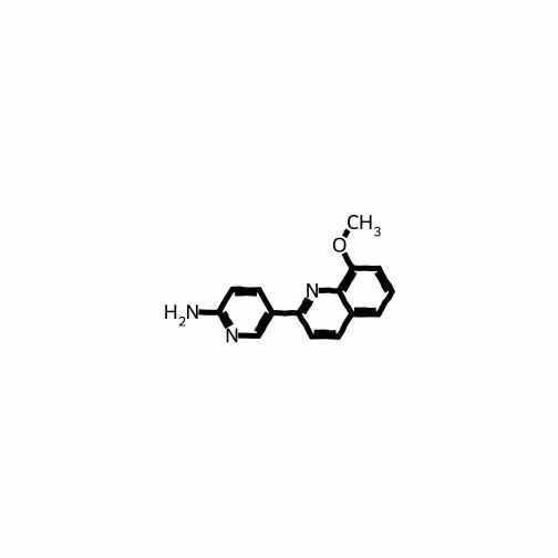 COc1cccc2ccc(-c3ccc(N)nc3)nc12